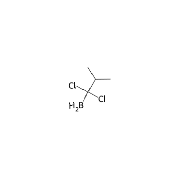 BC(Cl)(Cl)C(C)C